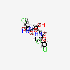 CC(Oc1ccc(Cl)cc1Cl)C(=O)NC[C@@H]1O[C@H](n2cc(CCCl)c(=O)[nH]c2=O)CC1O